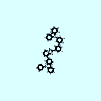 c1ccc(-n2c3ccccc3c3ccc(-c4cccn5nc(-c6cccc(-c7cccc(-n8c9ccccc9c9ccccc98)c7)c6)nc45)cc32)cc1